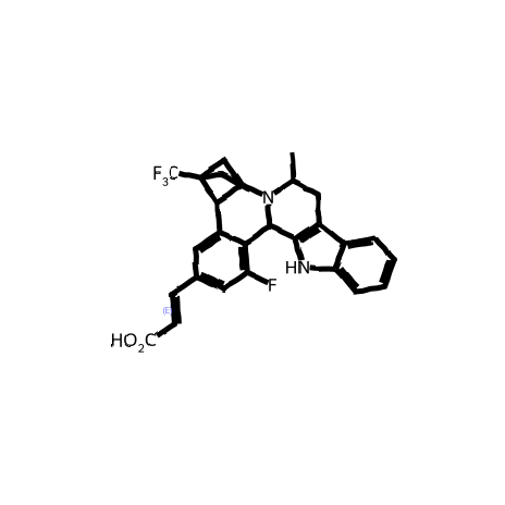 CC1Cc2c([nH]c3ccccc23)C2c3c(F)cc(/C=C/C(=O)O)cc3C3C4(CC3(C(F)(F)F)C4)N12